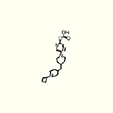 O=C(O)Oc1cnc(N2CCC(CC3CCN(C4CCC4)CC3)CC2)cn1